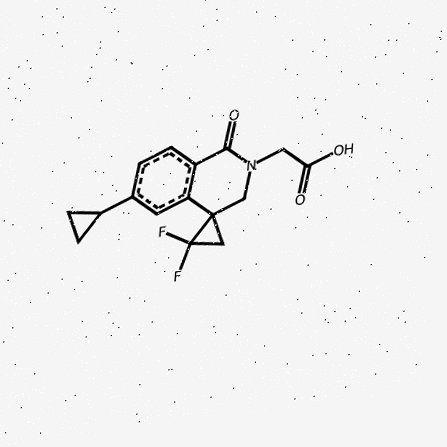 O=C(O)CN1CC2(CC2(F)F)c2cc(C3CC3)ccc2C1=O